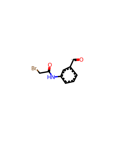 O=[C]c1cccc(NC(=O)CBr)c1